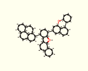 c1ccc2c(c1)Oc1cc(-c3ccc(-c4ccc5ccc6cccc7ccc4c5c67)c4c3oc3c5ccccc5ccc34)cc3cccc-2c13